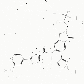 Cn1cc(-c2cc3c(cc2NC(=O)c2coc(-c4ccnc(N)c4)n2)CN(C[C@@H](F)C(C)(C)O)C3=O)cn1